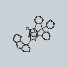 Clc1nc(-c2ccccc2C2(c3ccccc3)c3ccccc3-c3ccccc32)nc(-c2cccc3sc4ccccc4c23)n1